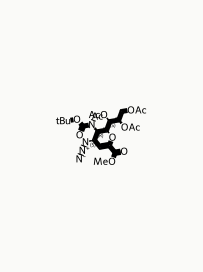 COC(=O)C1=C[C@H](N=[N+]=[N-])[C@@H](N(C(C)=O)C(=O)OC(C)(C)C)[C@H]([C@H](OC(C)=O)[C@@H](COC(C)=O)OC(C)=O)O1